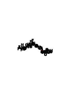 O=C1CCC(N2Cc3c(CN4CCN(c5ccc(-n6cc(NC(=O)c7coc(-c8ccnc(NC(F)C(F)F)c8)n7)c(C(F)F)n6)cc5)CC4)cccc3C2=O)C(=O)N1